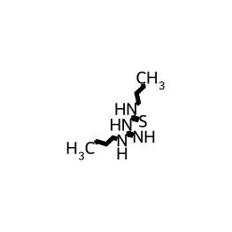 CCCCNC(=N)NC(=S)NCCCC